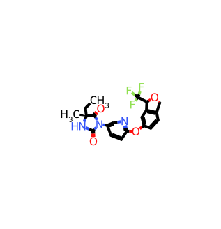 CC[C@@]1(C)NC(=O)N(c2ccc(Oc3ccc4c(c3)C(C(F)(F)F)OC4)nc2)C1=O